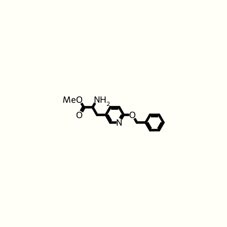 COC(=O)C(N)Cc1ccc(OCc2ccccc2)nc1